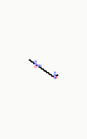 C=C1NC(CCCCC/C=C/CCCCNC(=O)NCCCCC)=NO1